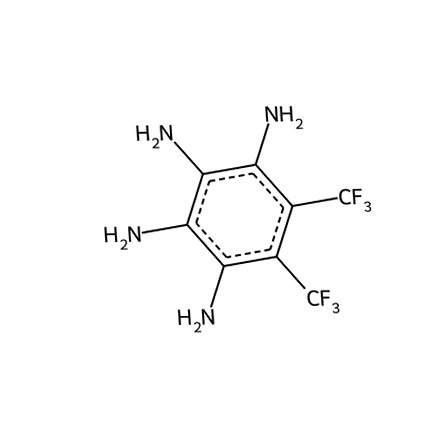 Nc1c(N)c(N)c(C(F)(F)F)c(C(F)(F)F)c1N